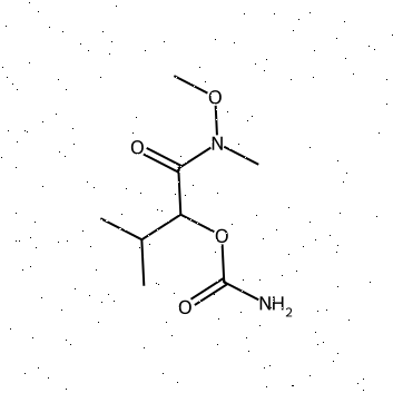 CON(C)C(=O)C(OC(N)=O)C(C)C